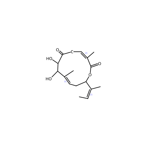 C/C=C(/C)C1C/C=C(\C)C(O)C(O)C(=O)C/C=C(/C)C(=O)O1